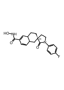 O=C(NO)C1=CC2CC[C@]3(CCN(c4ccc(F)cc4)C3=O)CC2C=C1